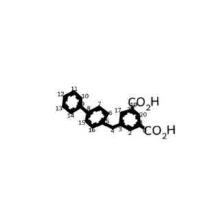 O=C(O)c1cc(Cc2ccc(-c3ccccc3)cc2)cc(C(=O)O)c1